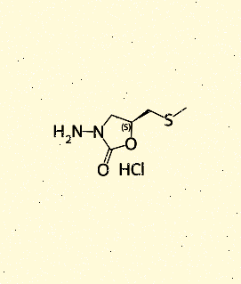 CSC[C@@H]1CN(N)C(=O)O1.Cl